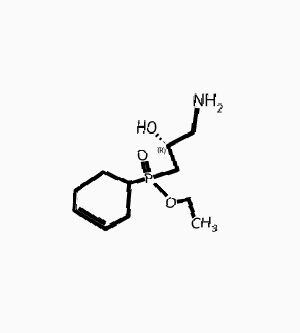 CCOP(=O)(C[C@H](O)CN)C1CC=CCC1